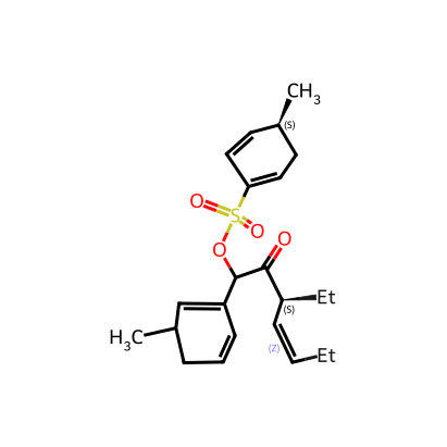 CC/C=C\[C@H](CC)C(=O)C(OS(=O)(=O)C1=CC[C@H](C)C=C1)C1=CC(C)CC=C1